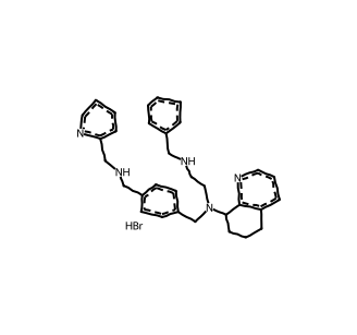 Br.c1ccc(CNCCN(Cc2ccc(CNCc3ccccn3)cc2)C2CCCc3cccnc32)cc1